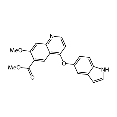 COC(=O)c1cc2c(Oc3ccc4[nH]ccc4c3)ccnc2cc1OC